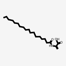 C=C(NC(=O)CCCCCCCCCCCCCCCCC)C(=O)O